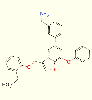 NCc1cccc(-c2cc(Oc3ccccc3)c3occ(COc4ccccc4CC(=O)O)c3c2)c1